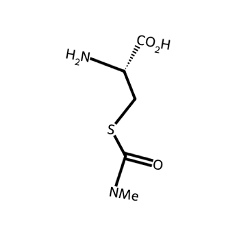 CNC(=O)SC[C@H](N)C(=O)O